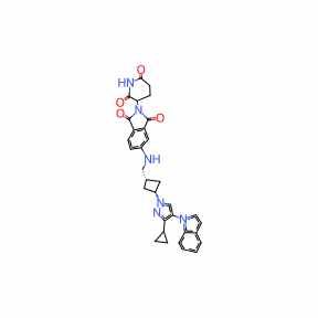 O=C1CCC(N2C(=O)c3ccc(NC[C@H]4C[C@H](n5cc(-n6ccc7ccccc76)c(C6CC6)n5)C4)cc3C2=O)C(=O)N1